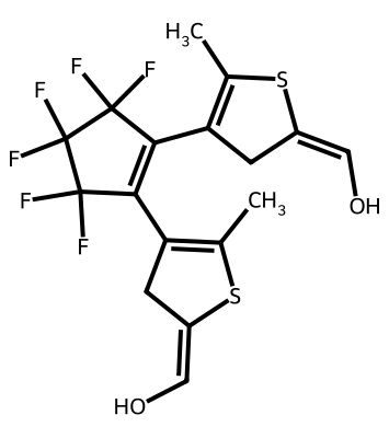 CC1=C(C2=C(C3=C(C)SC(=CO)C3)C(F)(F)C(F)(F)C2(F)F)CC(=CO)S1